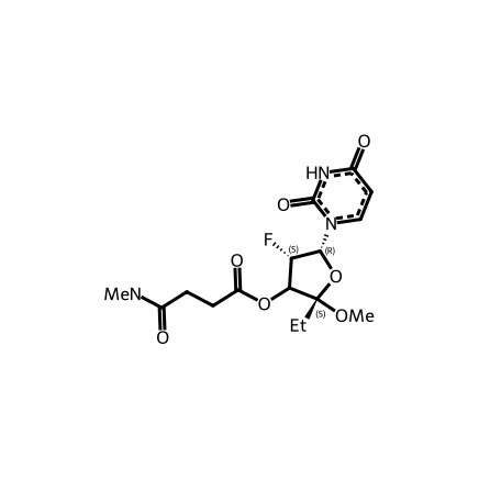 CC[C@]1(OC)O[C@@H](n2ccc(=O)[nH]c2=O)[C@@H](F)C1OC(=O)CCC(=O)NC